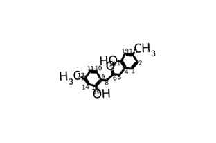 Cc1ccc(CC(=O)Cc2ccc(C)cc2O)c(O)c1